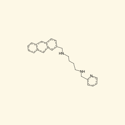 c1ccc(CNCCCCNCc2ccc3cc4ccccc4cc3c2)nc1